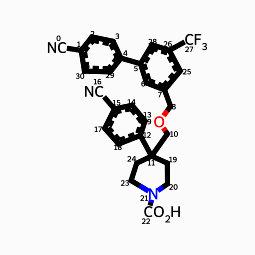 N#Cc1ccc(-c2cc(COCC3(c4ccc(C#N)cc4)CCN(C(=O)O)CC3)cc(C(F)(F)F)c2)cc1